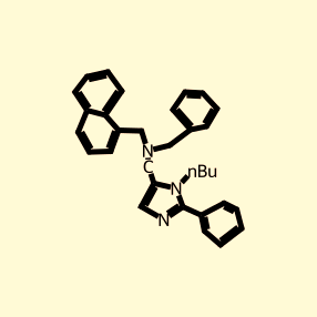 CCCCn1c(CN(Cc2ccccc2)Cc2cccc3ccccc23)cnc1-c1ccccc1